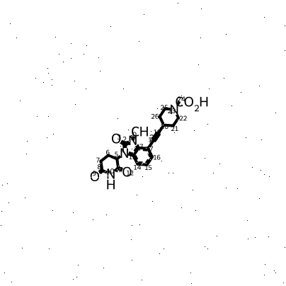 Cn1c(=O)n(C2CCC(=O)NC2=O)c2cccc(C#CC3CCN(C(=O)O)CC3)c21